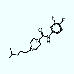 CC(C)CCCN1CCN(C(=O)Nc2ccc(F)c(F)c2)CC1